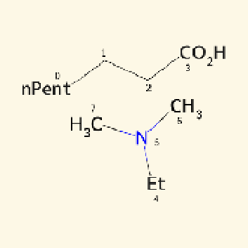 CCCCCCCC(=O)O.CCN(C)C